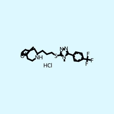 CC1=NOC2=CCCC3CC(CCCSc4nnc(-c5ccc(C(F)(F)F)cc5)n4C)NCCC213.Cl